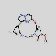 CCO[C@@H]1C[C@H]2COC3C=Cn4ncc(c4N3)-c3cc(F)cc(c3)NCCN2C1=O